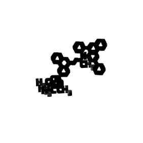 C/C(=C\C=C1/Cc2ccccc2-c2cc(B3OC(C)(C)C(C)(C)O3)ccc21)N(c1cc(-c2ccccc2)cc(-c2ccccc2)c1)c1ccccc1-c1ccccc1